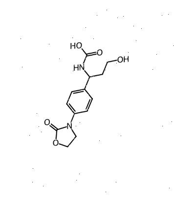 O=C(O)NC(CCO)c1ccc(N2CCOC2=O)cc1